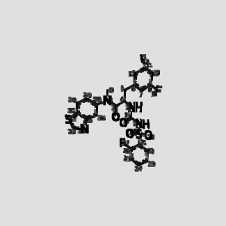 CN(C(=O)C(Cc1cc(F)cc(F)c1)NC(=O)NS(=O)(=O)c1ccccc1F)c1ccc2scnc2c1